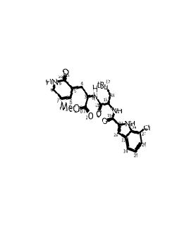 COC(=O)C(CC1CCCNC1=O)NC(=O)C(CC(C)(C)C)NC(=O)c1cc2cccc(Cl)c2[nH]1